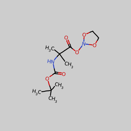 CC(C)(C)OC(=O)NC(C)(C)C(=O)ON1OCCO1